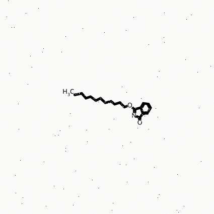 CCCCCCCCCCCCOC1=NC(=O)c2ccccc21